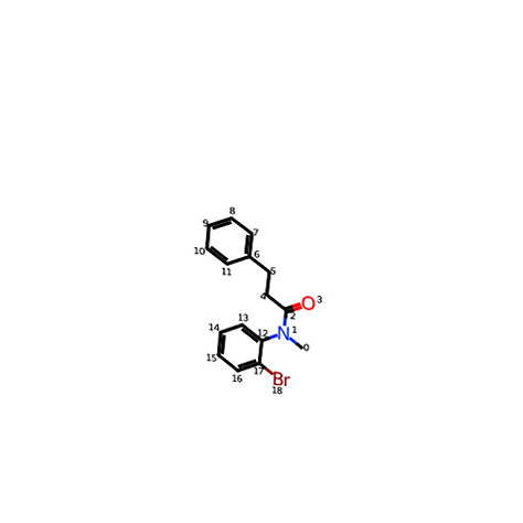 CN(C(=O)CCc1ccccc1)c1ccccc1Br